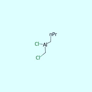 CCC[CH2][Al]([Cl])[CH2]Cl